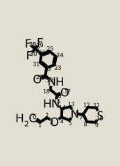 C=CCOC1CN(C2CCSCC2)C[C@@H]1NC(=O)CNC(=O)c1cccc(C(F)(F)F)c1